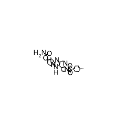 Cc1ccc(S(=O)(=O)n2ccc3c(NN4CCC(OC(N)=O)CC4)c(N)cnc32)cc1